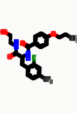 O=C(NCCO)C(=Cc1ccc(C(F)(F)F)cc1F)NC(=O)c1ccc(OCCC(F)(F)F)cc1